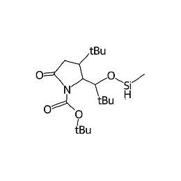 C[SiH](C)OC(C1C(C(C)(C)C)CC(=O)N1C(=O)OC(C)(C)C)C(C)(C)C